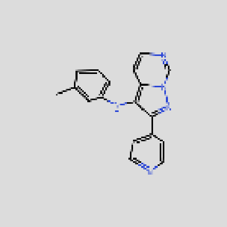 Cc1cccc(Nc2c(-c3ccncc3)nn3cnccc23)c1